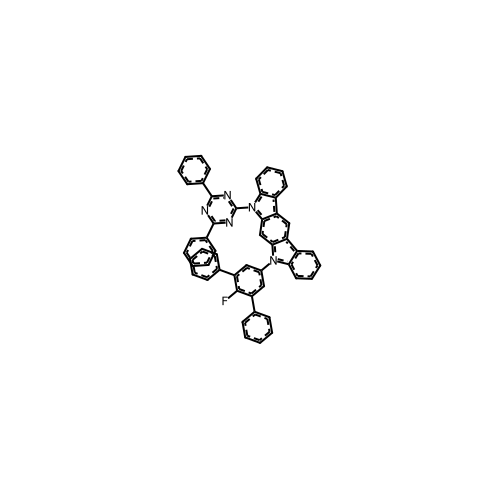 Fc1c(-c2ccccc2)cc(-n2c3ccccc3c3cc4c5ccccc5n(-c5nc(-c6ccccc6)nc(-c6ccccc6)n5)c4cc32)cc1-c1ccccc1